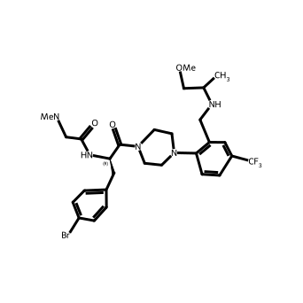 CNCC(=O)N[C@H](Cc1ccc(Br)cc1)C(=O)N1CCN(c2ccc(C(F)(F)F)cc2CNC(C)COC)CC1